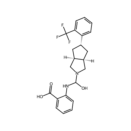 O=C(O)c1ccccc1NC(O)N1C[C@H]2C[C@H](c3ccccc3C(F)(F)F)C[C@H]2C1